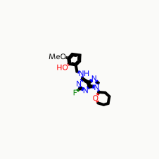 COc1cccc(CNc2nc(F)nc3c2ncn3C2CCCCCO2)c1O